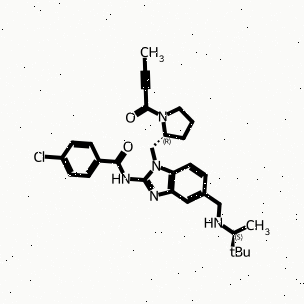 CC#CC(=O)N1CCC[C@@H]1Cn1c(NC(=O)c2ccc(Cl)cc2)nc2cc(CN[C@@H](C)C(C)(C)C)ccc21